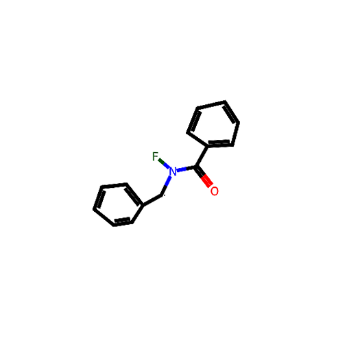 O=C(c1ccccc1)N(F)[CH]c1ccccc1